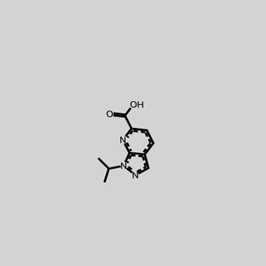 CC(C)n1ncc2ccc(C(=O)O)nc21